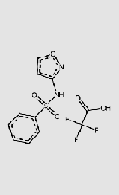 O=C(O)C(F)(F)F.O=S(=O)(Nc1ccon1)c1ccccc1